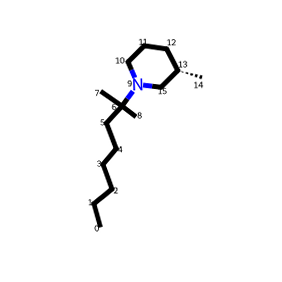 CCCCCCC(C)(C)N1CCC[C@H](C)C1